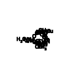 Cc1c(Cl)c2c(Cl)c(C)c1-c1c(Br)sc3ncnc(c13)O[C@@H](C(=O)OC(C)(C)C)Cc1cc(ccc1O)OC[C@@H](CN1CCN(C)CC1)O2